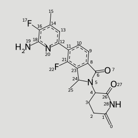 C=C1CCC(N2C(=O)c3ccc(-c4cc(C)c(F)c(N)n4)c(F)c3C2C)C(=O)N1